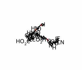 N#C[C@H]1CC(F)(F)CN1C(=O)CNC(=O)c1ccnc2ccc(OCCCCC3CCN(C(=O)CCCN4C(=O)CC(SCC(CCCCNC(=O)CCCc5ccc(I)cc5)NC(=O)CN5CCN(CC(=O)O)CCN(CC(=O)O)CCN(CC(=O)O)CC5)C4=O)CC3)cc12